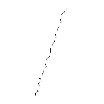 C=CC(=O)OCCNC(=O)OCCOCCOCCOCCOCCOCCOCCOCCOCCO